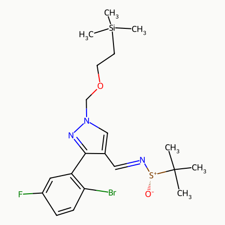 CC(C)(C)[S@+]([O-])/N=C/c1cn(COCC[Si](C)(C)C)nc1-c1cc(F)ccc1Br